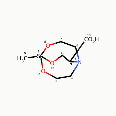 C[Si]12OCCN(CCO1)C(C(=O)O)CO2